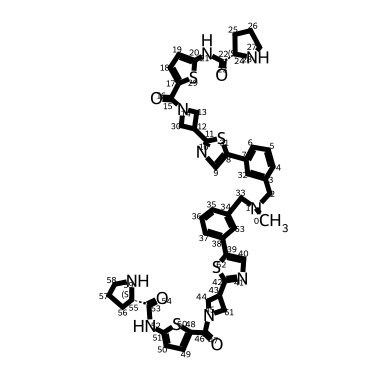 CN(Cc1cccc(-c2cnc(C3CN(C(=O)c4ccc(NC(=O)[C@@H]5CCCN5)s4)C3)s2)c1)Cc1cccc(-c2cnc(C3CN(C(=O)c4ccc(NC(=O)[C@@H]5CCCN5)s4)C3)s2)c1